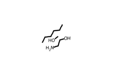 CCCCCC.CO.NCCO